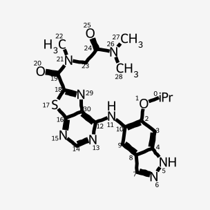 CC(C)Oc1cc2[nH]ncc2cc1Nc1ncnc2sc(C(=O)N(C)CC(=O)N(C)C)nc12